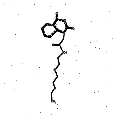 CCOCCOCCNC(=O)Cn1c(=O)oc(=O)c2ccccc21